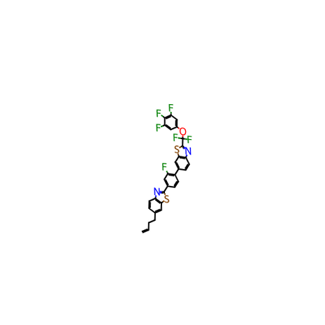 C=CCCc1ccc2nc(-c3ccc(-c4ccc5nc(C(F)(F)Oc6cc(F)c(F)c(F)c6)sc5c4)c(F)c3)sc2c1